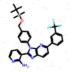 CC(C)(C)[Si](C)(C)OCc1ccc(-n2c(-c3cccnc3N)nc3ccc(-c4cccc(C(F)(F)F)c4)nc32)cc1